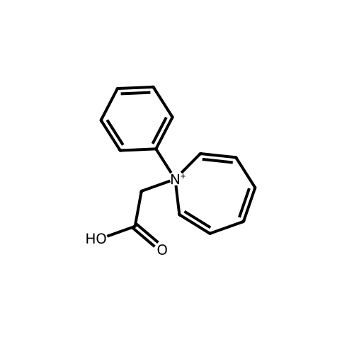 O=C(O)C[N+]1(c2ccccc2)C=CC=CC=C1